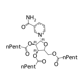 CCCCCC(=O)OCC1O[C@@H]([n+]2cccc(C(N)=O)c2)[C@H](OC(=O)CCCCC)[C@@H]1OC(=O)CCCCC